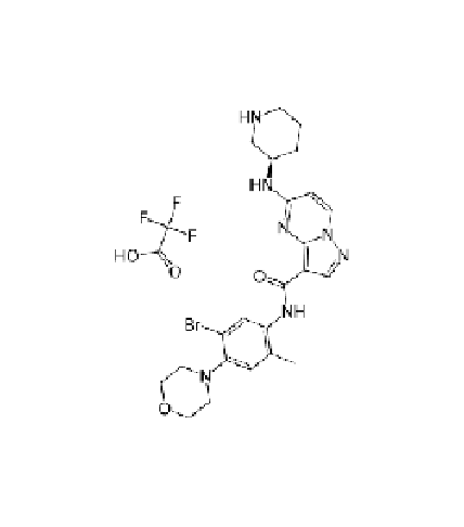 Cc1cc(N2CCOCC2)c(Br)cc1NC(=O)c1cnn2ccc(N[C@@H]3CCCNC3)nc12.O=C(O)C(F)(F)F